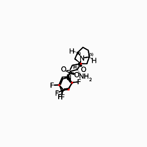 N[C@H](Cc1cc(F)c(F)cc1F)[C@H]1C[C@H]2CC[C@@H](C1)N2C(=O)CS(=O)(=O)N1CCC(F)(F)CC1